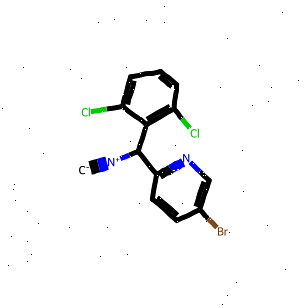 [C-]#[N+]C(c1ccc(Br)cn1)c1c(Cl)cccc1Cl